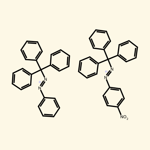 O=[N+]([O-])c1ccc(/N=N/C(c2ccccc2)(c2ccccc2)c2ccccc2)cc1.c1ccc(/N=N/C(c2ccccc2)(c2ccccc2)c2ccccc2)cc1